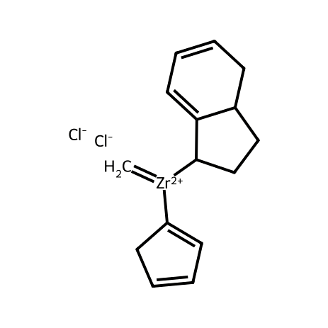 [CH2]=[Zr+2]([C]1=CC=CC1)[CH]1CCC2CC=CC=C21.[Cl-].[Cl-]